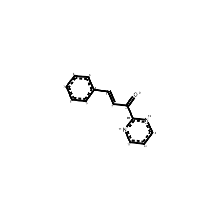 O=C(C=Cc1ccccc1)c1ncccn1